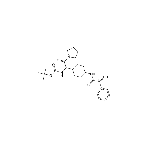 CC(C)(C)OC(=O)NC(C(=O)N1CCCC1)C1CCC(NC(=O)[C@@H](O)c2ccccc2)CC1